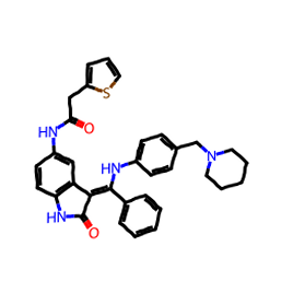 O=C(Cc1cccs1)Nc1ccc2c(c1)C(=C(Nc1ccc(CN3CCCCC3)cc1)c1ccccc1)C(=O)N2